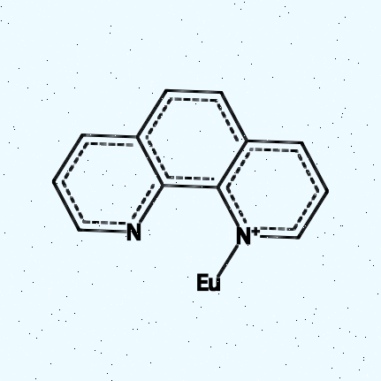 [Eu][n+]1cccc2ccc3cccnc3c21